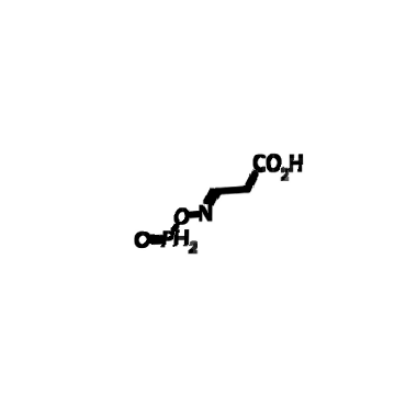 O=[PH2]ON=CCC(=O)O